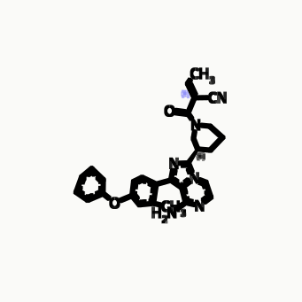 C/C=C(\C#N)C(=O)N1CCC[C@@H](c2nc(-c3ccc(Oc4ccccc4)cc3C)c3c(N)nccn23)C1